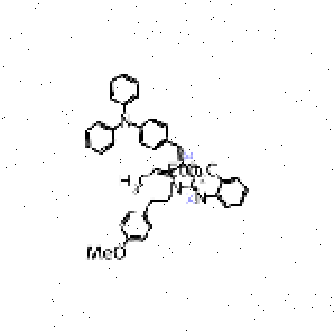 CC=c1/c(=C\c2ccc(N(c3ccccc3)c3ccccc3)cc2)o/c(=N\c2ccccc2C(=O)OCC)n1CCc1ccc(OC)cc1